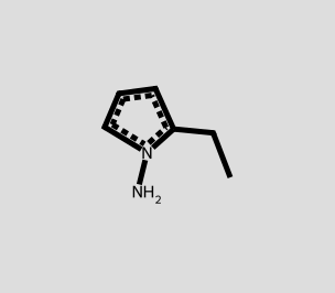 CCc1cccn1N